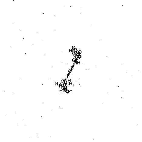 Cc1[nH]c(/C=C2\C(=O)Nc3ccc(F)cc32)c(C)c1C(=O)NCCCOCCOCCOCCCNC(=O)COc1cccc2c1C(=O)N(C1CCC(=O)NC1=O)C2=O